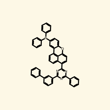 c1ccc(-c2cccc(-c3nc(-c4ccccc4)nc(-c4ccc5c6c(cccc46)-c4cc(N(c6ccccc6)c6ccccc6)ccc4O5)n3)c2)cc1